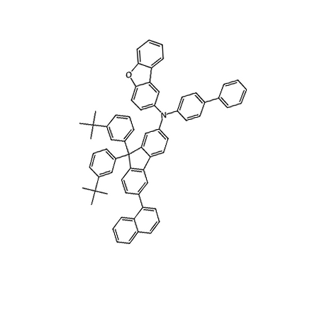 CC(C)(C)c1cccc(C2(c3cccc(C(C)(C)C)c3)c3ccc(-c4cccc5ccccc45)cc3-c3ccc(N(c4ccc(-c5ccccc5)cc4)c4ccc5oc6ccccc6c5c4)cc32)c1